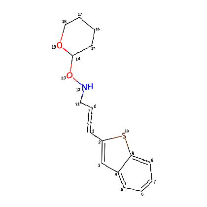 C(=Cc1cc2ccccc2s1)CNOC1CCCCO1